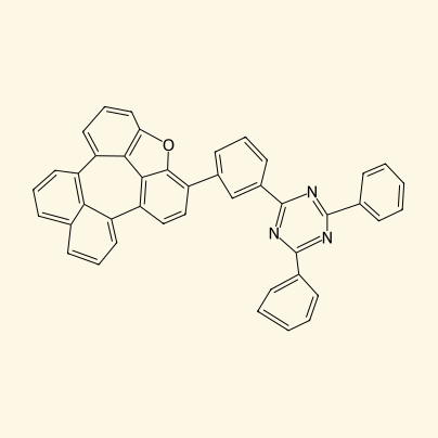 c1ccc(-c2nc(-c3ccccc3)nc(-c3cccc(-c4ccc5c6c4oc4cccc(c46)-c4cccc6cccc-5c46)c3)n2)cc1